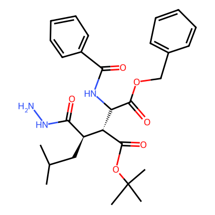 CC(C)C[C@@H](C(=O)NN)[C@@H](C(=O)OC(C)(C)C)C(NC(=O)c1ccccc1)C(=O)OCc1ccccc1